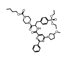 CCCCOC(=O)N1CCN(C(=O)C(Cc2ccc(P(=O)(OCC)OCC)cc2)NC(=O)c2cc(N3CCC(OC)C3)nc(-c3ccccc3)n2)CC1